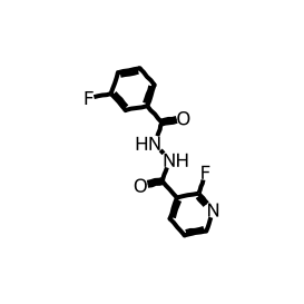 O=C(NNC(=O)c1cccnc1F)c1cccc(F)c1